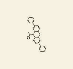 CC(=O)C1c2ccc(-c3ccccc3)cc2Cc2ccc(-c3ccccc3)cc21